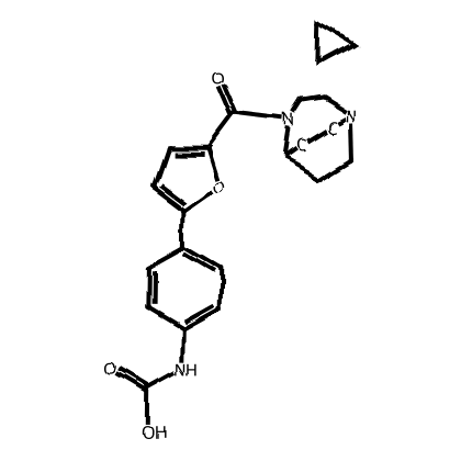 C1CC1.O=C(O)Nc1ccc(-c2ccc(C(=O)N3CCN4CCC3CC4)o2)cc1